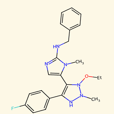 CCON1C(c2cnc(NCc3ccccc3)n2C)=C(c2ccc(F)cc2)NN1C